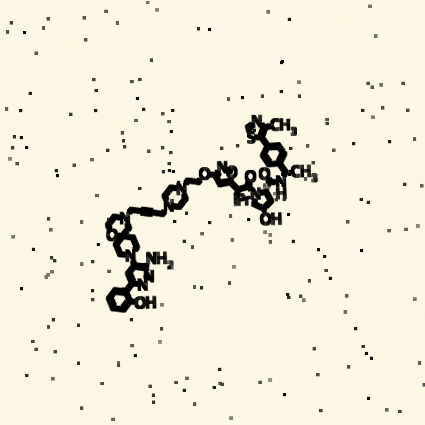 Cc1ncsc1-c1ccc([C@H](C)NC(=O)[C@@H]2C[C@@H](O)CN2C(=O)C(c2cc(OCCN3CCN(CC#CCN4CCOC5(CCN(c6cc(-c7ccccc7O)nnc6N)CC5)C4)CC3)no2)C(C)C)cc1